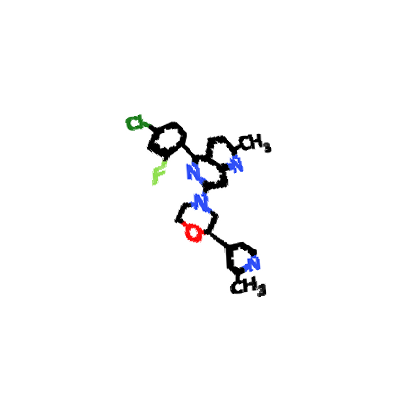 Cc1cc([C@@H]2CN(c3cc4nc(C)ccc4c(-c4ccc(Cl)cc4F)n3)CCO2)ccn1